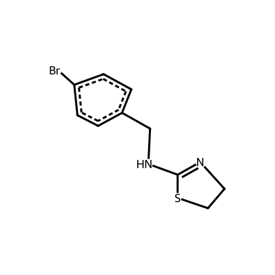 Brc1ccc(CNC2=NCCS2)cc1